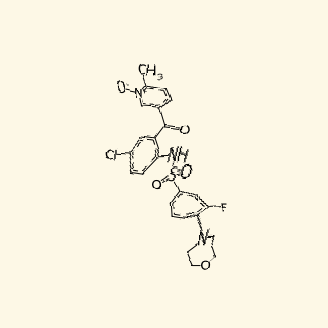 Cc1ccc(C(=O)c2cc(Cl)ccc2NS(=O)(=O)c2ccc(N3CCOCC3)c(F)c2)c[n+]1[O-]